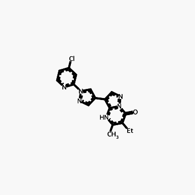 CCc1c(C)[nH]c2c(-c3cnn(-c4cc(Cl)ccn4)c3)cnn2c1=O